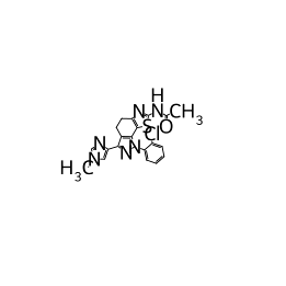 CC(=O)Nc1nc2c(s1)-c1c(c(-c3cn(C)cn3)nn1-c1ccccc1Cl)CC2